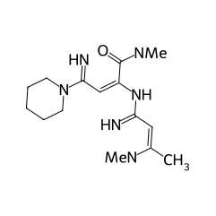 CNC(=O)/C(=C\C(=N)N1CCCCC1)NC(=N)/C=C(/C)NC